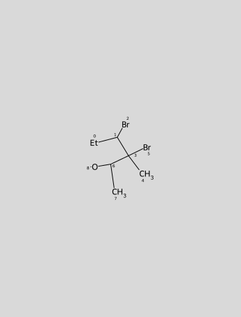 CCC(Br)C(C)(Br)C(C)[O]